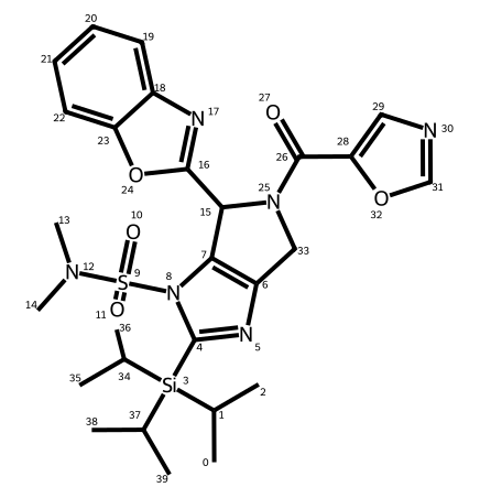 CC(C)[Si](c1nc2c(n1S(=O)(=O)N(C)C)C(c1nc3ccccc3o1)N(C(=O)c1cnco1)C2)(C(C)C)C(C)C